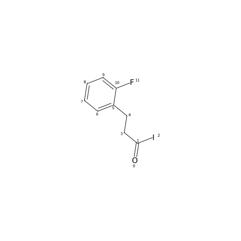 O=C(I)CCc1ccccc1F